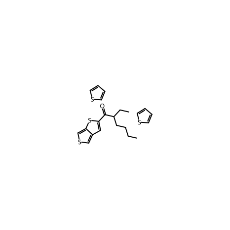 CCCCC(CC)C(=O)c1cc2cscc2s1.c1ccsc1.c1ccsc1